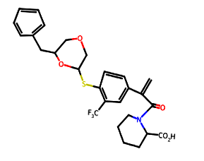 C=C(C(=O)N1CCCCC1C(=O)O)c1ccc(SC2COCC(Cc3ccccc3)O2)c(C(F)(F)F)c1